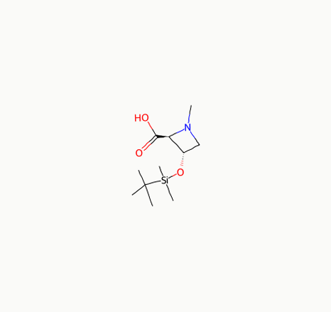 CN1C[C@H](O[Si](C)(C)C(C)(C)C)[C@H]1C(=O)O